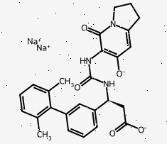 Cc1cccc(C)c1-c1cccc([C@H](CC(=O)[O-])NC(=O)Nc2c([O-])cc3n(c2=O)CCC3)c1.[Na+].[Na+]